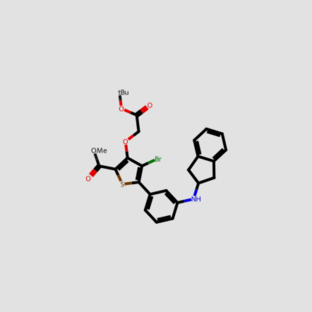 COC(=O)c1sc(-c2cccc(NC3Cc4ccccc4C3)c2)c(Br)c1OCC(=O)OC(C)(C)C